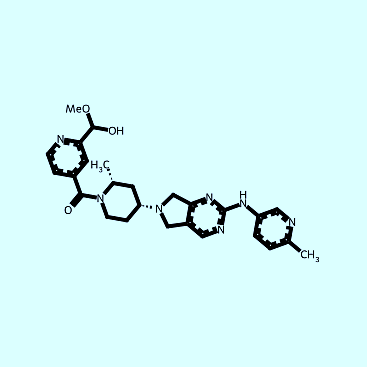 COC(O)c1cc(C(=O)N2CC[C@@H](N3Cc4cnc(Nc5ccc(C)nc5)nc4C3)C[C@H]2C)ccn1